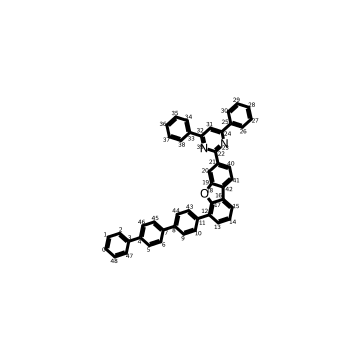 c1ccc(-c2ccc(-c3ccc(-c4cccc5c4oc4cc(-c6nc(-c7ccccc7)cc(-c7ccccc7)n6)ccc45)cc3)cc2)cc1